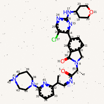 CC(/C=N\C(=O)[C@@H](C)N1Cc2ccc(-c3nc(NC4CCOCC4)ncc3Cl)cc2C1=O)c1cccc(N2CCCN(C)CC2)n1